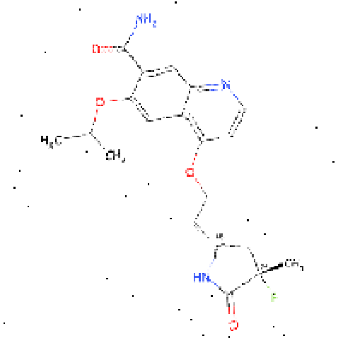 CC(C)Oc1cc2c(OCC[C@@H]3C[C@](C)(F)C(=O)N3)ccnc2cc1C(N)=O